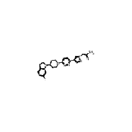 NC(=O)Cn1cc(-c2ccc(N3CCC(N4CCc5ccc(F)cc54)CC3)nn2)cn1